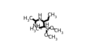 CCC(NC(C)N)C(C)[SiH](OC)OC